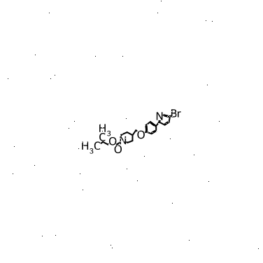 CC(C)COC(=O)N1CCC(COc2ccc(-c3ccc(Br)cn3)cc2)CC1